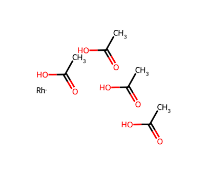 CC(=O)O.CC(=O)O.CC(=O)O.CC(=O)O.[Rh]